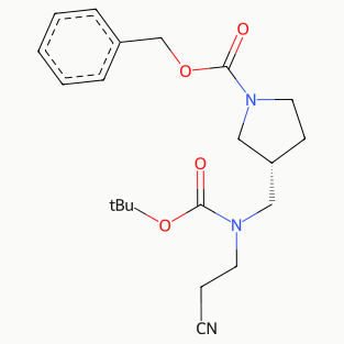 CC(C)(C)OC(=O)N(CCC#N)C[C@H]1CCN(C(=O)OCc2ccccc2)C1